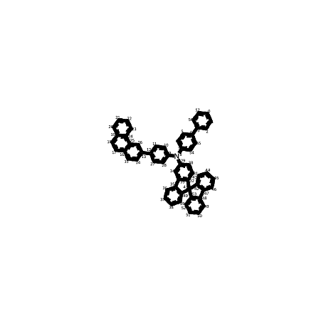 c1ccc(-c2ccc(N(c3ccc(-c4ccc5ccc6ccccc6c5c4)cc3)c3ccc4c(c3)-c3ccccc3C43c4ccccc4-c4ccccc43)cc2)cc1